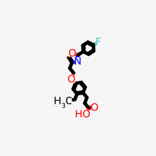 CCc1cc(OCCc2coc(-c3ccc(F)cc3)n2)ccc1CCC(=O)O